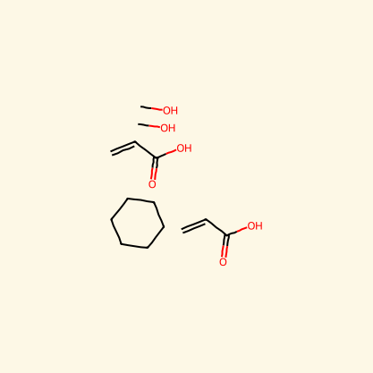 C1CCCCC1.C=CC(=O)O.C=CC(=O)O.CO.CO